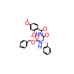 COc1ccc(C(=O)NC(=O)[C@H](Cc2ccccc2)NC(=O)OCc2ccccc2)c(OC)c1